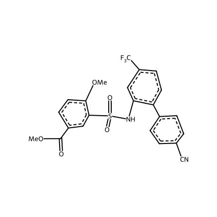 COC(=O)c1ccc(OC)c(S(=O)(=O)Nc2cc(C(F)(F)F)ccc2-c2ccc(C#N)cc2)c1